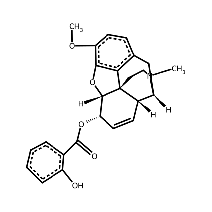 COc1ccc2c3c1O[C@H]1[C@@H](OC(=O)c4ccccc4O)C=C[C@H]4[C@@H](C2)N(C)CC[C@@]341